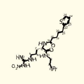 CC(C)CCNC(=O)[C@H](CCCNC(=N)N[N+](=O)[O-])NC(=O)CCCCc1cccs1